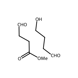 COC(=O)CCC=O.O=CCCCO